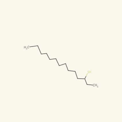 CCCCCCCCCCCC(S)CC